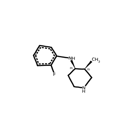 C[C@H]1CNCC[C@H]1Nc1ccccc1F